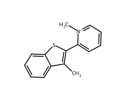 Cc1c(-c2cccc[n+]2C)sc2ccccc12